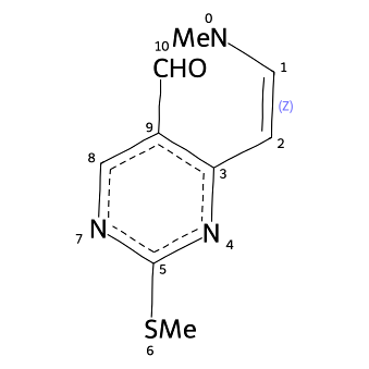 CN/C=C\c1nc(SC)ncc1C=O